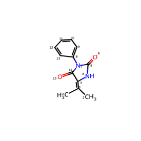 CC(C)=C1NC(=O)N(c2ccccc2)C1=O